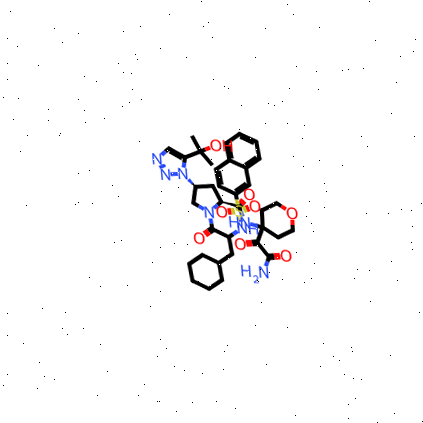 CC(C)(O)c1cnnn1[C@H]1C[C@@H](C(=O)NC2(C(=O)C(N)=O)CCOCC2)N(C(=O)C(CC2CCCCC2)NS(=O)(=O)c2ccc3ccccc3c2)C1